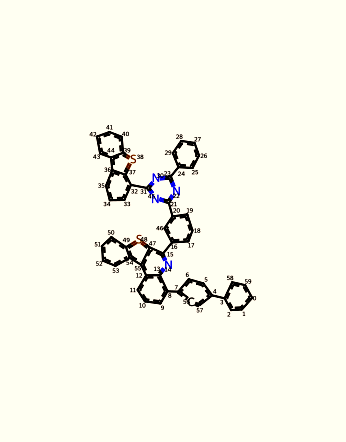 c1ccc(-c2ccc(-c3cccc4c3nc(-c3cccc(-c5nc(-c6ccccc6)nc(-c6cccc7c6sc6ccccc67)n5)c3)c3sc5ccccc5c34)cc2)cc1